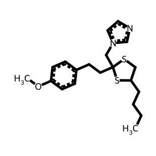 CCCCC1CSC(CCc2ccc(OC)cc2)(Cn2ccnc2)S1